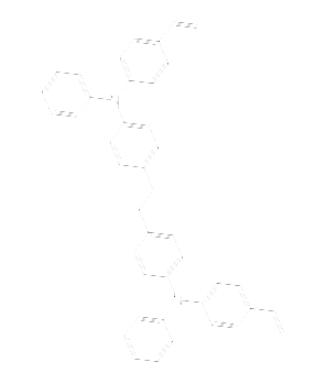 C=Cc1ccc(N(c2ccccc2)c2ccc(CCc3ccc(N(c4ccccc4)c4ccc(C=C)cc4)cc3)cc2)cc1